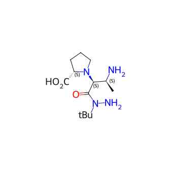 C[C@H](N)[C@@H](C(=O)N(N)C(C)(C)C)N1CCC[C@H]1C(=O)O